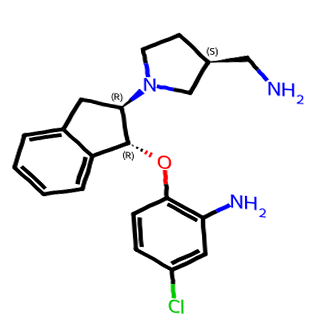 NC[C@@H]1CCN([C@@H]2Cc3ccccc3[C@H]2Oc2ccc(Cl)cc2N)C1